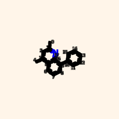 Cc1cc(C)c2cccc(-c3cc[c]cc3)c2n1